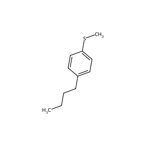 CCCCc1ccc(SC)cc1